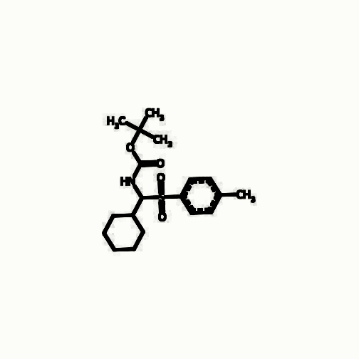 Cc1ccc(S(=O)(=O)C(NC(=O)OC(C)(C)C)C2CCCCC2)cc1